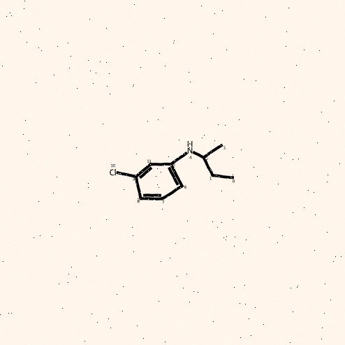 CCC(C)Nc1cc[c]c(Cl)c1